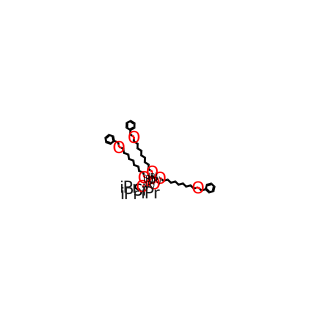 CC(C)[Si](OC[C@H]1O[C@@H](OCCCCCCCCCOCc2ccccc2)[C@H](OCCCCCCCCCOCc2ccccc2)[C@@H]1OCCCCCCCCCOCc1ccccc1)(C(C)C)C(C)C